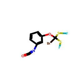 O=C=Nc1cccc(OC(Br)(SF)SF)c1